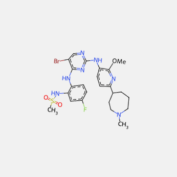 COc1nc(C2CCCN(C)CC2)ccc1Nc1ncc(Br)c(Nc2ccc(F)cc2NS(C)(=O)=O)n1